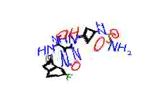 NS(=O)(=O)NC1CC(Nc2nonc2/C(=N\O)N[C@H]2Cc3ccc(F)cc32)C1